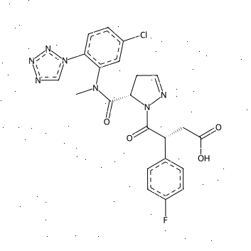 CN(C(=O)[C@@H]1CC=NN1C(=O)[C@H](CC(=O)O)c1ccc(F)cc1)c1cc(Cl)ccc1-n1cnnn1